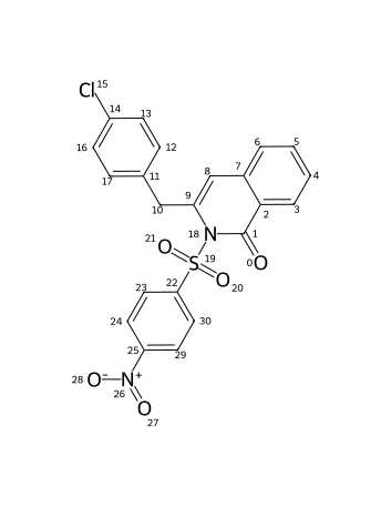 O=c1c2ccccc2cc(Cc2ccc(Cl)cc2)n1S(=O)(=O)c1ccc([N+](=O)[O-])cc1